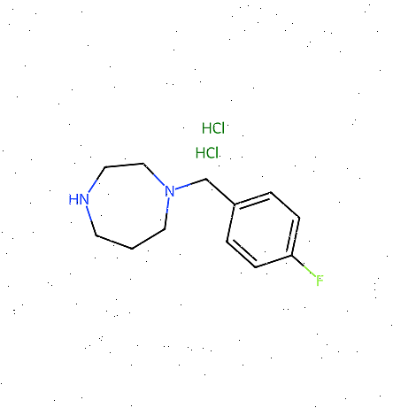 Cl.Cl.Fc1ccc(CN2CCCNCC2)cc1